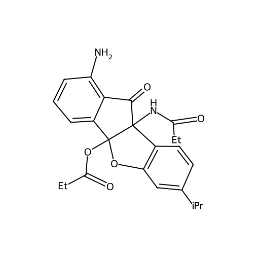 CCC(=O)NC12C(=O)c3c(N)cccc3C1(OC(=O)CC)Oc1cc(C(C)C)ccc12